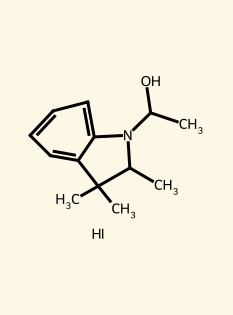 CC(O)N1c2ccccc2C(C)(C)C1C.I